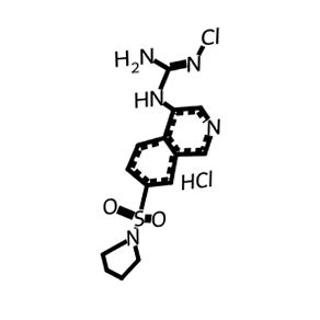 Cl.NC(=NCl)Nc1cncc2cc(S(=O)(=O)N3CCCC3)ccc12